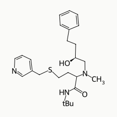 CN(C[C@@H](O)CCc1ccccc1)C(CCSCc1cccnc1)C(=O)NC(C)(C)C